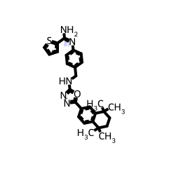 CC1(C)CCC(C)(C)c2cc(-c3nnc(NCc4ccc(/N=C(/N)c5cccs5)cc4)o3)ccc21